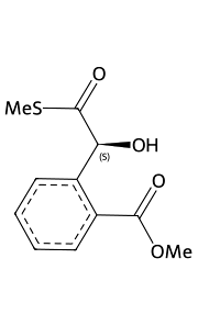 COC(=O)c1ccccc1[C@H](O)C(=O)SC